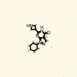 O=c1[nH]c(C2CNC2)nc2c1cnn2C1CCCCC1